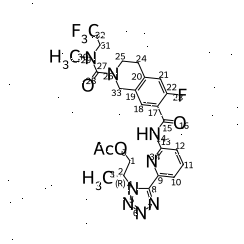 CC(=O)OC[C@@H](C)n1nnnc1-c1cccc(NC(=O)c2cc3c(cc2F)CCN(C(=O)N(C)CC(F)(F)F)C3)n1